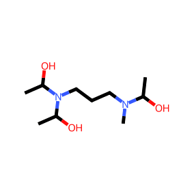 CC(O)N(C)CCCN(C(C)O)C(C)O